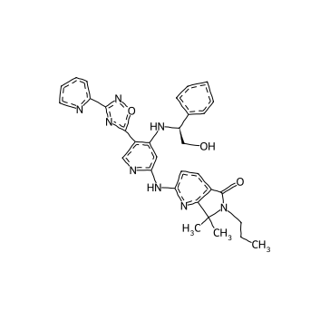 CCCN1C(=O)c2ccc(Nc3cc(N[C@H](CO)c4ccccc4)c(-c4nc(-c5ccccn5)no4)cn3)nc2C1(C)C